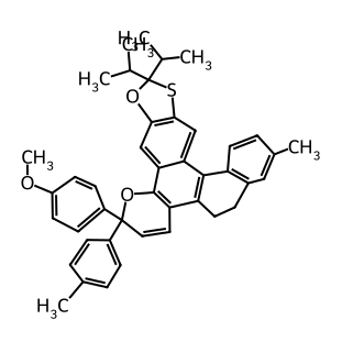 COc1ccc(C2(c3ccc(C)cc3)C=Cc3c4c(c5cc6c(cc5c3O2)OC(C(C)C)(C(C)C)S6)-c2ccc(C)cc2CC4)cc1